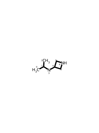 CC(C)[N]C1CNC1